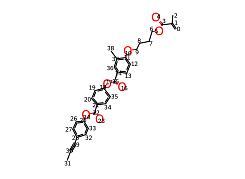 C=C(C)C(=O)OCCCCOc1ccc(C(=O)Oc2ccc(C(=O)Oc3ccc(C#CC)cc3)cc2)cc1C